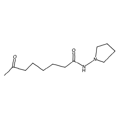 CC(=O)CCCCCC(=O)NN1CCCC1